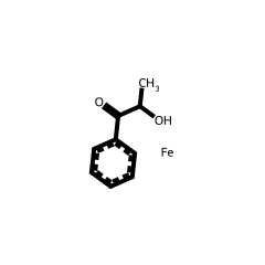 CC(O)C(=O)c1ccccc1.[Fe]